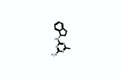 Cc1nc(N)nc(N[C@@H]2CCc3ccccc32)n1